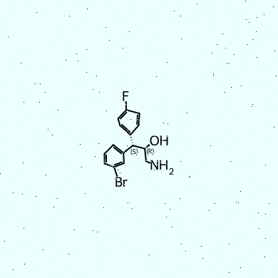 NC[C@H](O)[C@@H](c1ccc(F)cc1)c1cccc(Br)c1